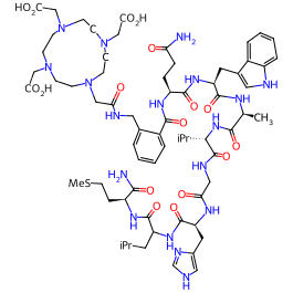 CSCC[C@H](NC(=O)C(CC(C)C)NC(=O)[C@H](Cc1c[nH]cn1)NC(=O)CNC(=O)[C@@H](NC(=O)[C@H](C)NC(=O)[C@H](Cc1c[nH]c2ccccc12)NC(=O)[C@H](CCC(N)=O)NC(=O)c1ccccc1CNC(=O)CN1CCN(CC(=O)O)CCN(CC(=O)O)CCN(CC(=O)O)CC1)C(C)C)C(N)=O